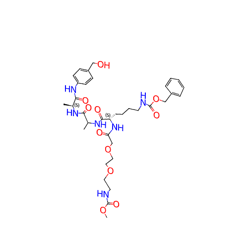 COC(=O)NCCOCCOCC(=O)N[C@@H](CCCCNC(=O)OCc1ccccc1)C(=O)NC(C)C(=O)N[C@@H](C)C(=O)Nc1ccc(CO)cc1